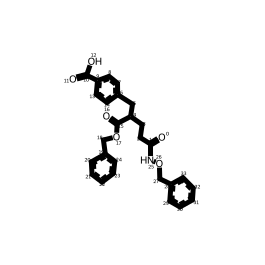 O=C(CCC(Cc1ccc(C(=O)O)cc1)C(=O)OCc1ccccc1)NOCc1ccccc1